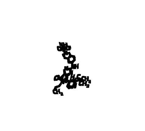 C=CCn1c(=O)c2cnc(Nc3ccc4c(c3)CCN(S(N)(=O)=O)C4)nc2n1-c1ccnc(C(C)(C)C)c1